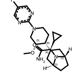 CO[C@@H]1CN(c2ncc(F)cn2)CC[C@@H]1C1C[C@@H]2CC[C@@H](C1)N2[C@@H](C(N)=O)C1CC1